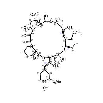 C=CC[C@@H]1/C=C(\C)C[C@H](C)C[C@H](O)[C@H]2O[C@@](O)(C(=O)C(=O)N3CCCC[C@H]3C(=O)O[C@H](/C(C)=C/[C@@H]3CC[C@@H](O)[C@H](OC)C3)[C@H](C)[C@@H](O)C/C1=N/I)[C@H](C)C[C@@H]2OC